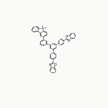 CC1(C)c2ccccc2-c2cc(-c3cccc(-c4cc(-c5ccc(-c6nc7ccccc7o6)cc5)cc(-c5ccc(-c6nc7ccccc7o6)cc5)c4)c3)ccc21